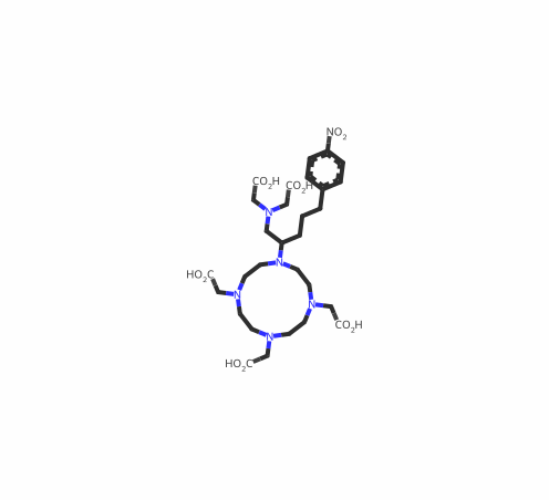 O=C(O)CN1CCN(CC(=O)O)CCN(C(CCCc2ccc([N+](=O)[O-])cc2)CN(CC(=O)O)CC(=O)O)CCN(CC(=O)O)CC1